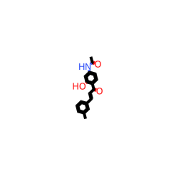 CC(=O)Nc1ccc(C(=O)C=Cc2cccc(C)c2)c(O)c1